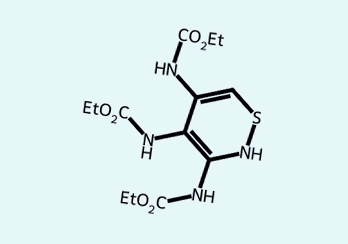 CCOC(=O)NC1=CSNC(NC(=O)OCC)=C1NC(=O)OCC